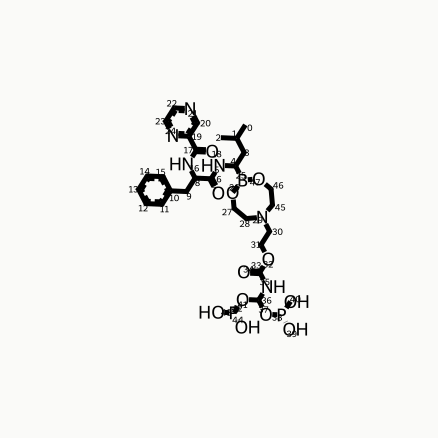 CC(C)CC(NC(=O)C(Cc1ccccc1)NC(=O)c1cnccn1)B1OCCN(CCOC(=O)NC(OP(O)O)OP(O)O)CCO1